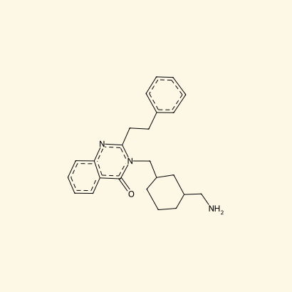 NCC1CCCC(Cn2c(CCc3ccccc3)nc3ccccc3c2=O)C1